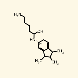 CC1C2=CC[C@@H](NC(O)CCCCN)C=C2C(C)C1C